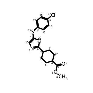 COC(=O)C1CCC(c2ncc(Sc3ccc(Cl)cc3)o2)CC1